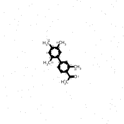 CC(=O)c1ccc(-c2cc(C)c(C)cc2C)cc1C